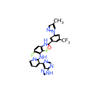 Cc1cnn(-c2cc(C(=O)Nc3ccc(F)c(Nc4ncccc4-c4ncnc5[nH]cnc45)c3F)cc(C(F)(F)F)c2)c1